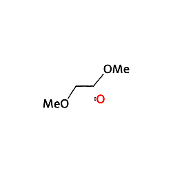 COCCOC.[O]